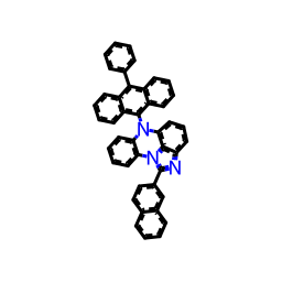 c1ccc(-c2c3ccccc3c(N3c4ccccc4-n4c(-c5ccc6ccccc6c5)nc5cccc3c54)c3ccccc23)cc1